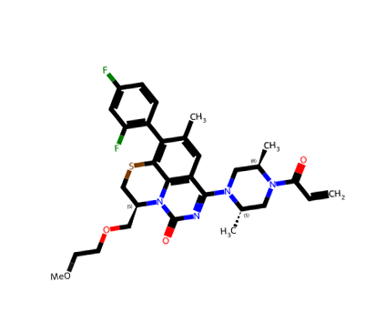 C=CC(=O)N1C[C@H](C)N(c2nc(=O)n3c4c(c(-c5ccc(F)cc5F)c(C)cc24)SC[C@@H]3COCCOC)C[C@H]1C